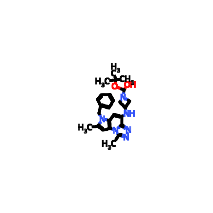 Cc1cc2c(cc(NC3CN(C(O)OC(C)(C)C)C3)c3nnc(C)n32)n1Cc1ccccc1